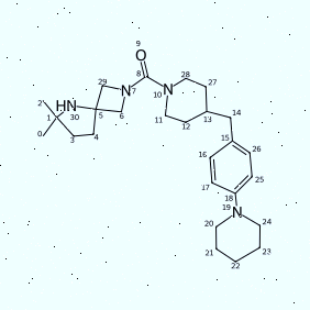 CC1(C)CCC2(CN(C(=O)N3CCC(Cc4ccc(N5CCCCC5)cc4)CC3)C2)N1